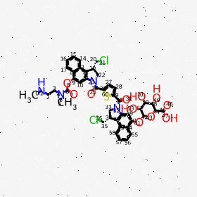 CNCCN(C)C(=O)Oc1cc2c(c3ccccc13)[C@H](CCl)CN2C(=O)c1ccc(C(=O)N2C[C@@H](CCl)c3c2cc(O[C@@H]2OC(C(=O)O)[C@@H](O)C(O)[C@@H]2O)c2ccccc32)s1